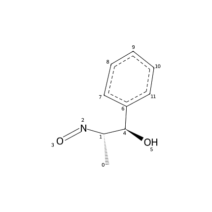 C[C@H](N=O)[C@H](O)c1ccccc1